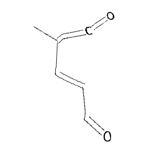 CC(=C=O)C=CC=O